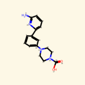 Nc1cccc(-c2cccc(N3CCN(C(=O)O)CC3)c2)n1